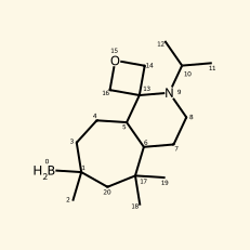 BC1(C)CCC2C(CCN(C(C)C)C23COC3)C(C)(C)C1